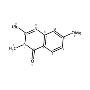 COc1ccc2c(=O)n(C)c(C(C)(C)C)nc2c1